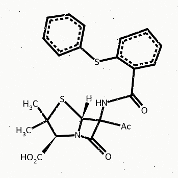 CC(=O)C1(NC(=O)c2ccccc2Sc2ccccc2)C(=O)N2[C@@H](C(=O)O)C(C)(C)S[C@@H]21